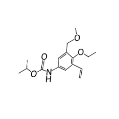 C=Cc1cc(NC(=O)OC(C)C)cc(COC)c1OCC